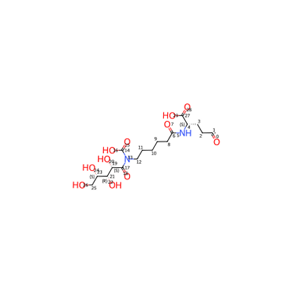 O=[C]CC[C@H](NC(=O)CCCCCN(C(=O)O)C(=O)[C@@H](O)[C@H](O)[C@@H](O)CO)C(=O)O